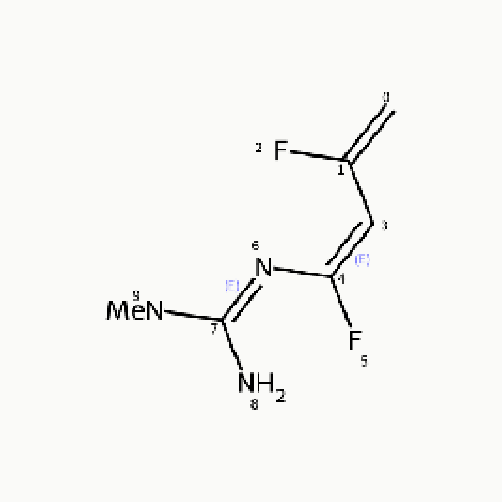 C=C(F)/C=C(F)\N=C(/N)NC